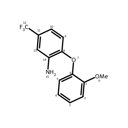 COc1ccccc1Oc1ccc(C(F)(F)F)cc1N